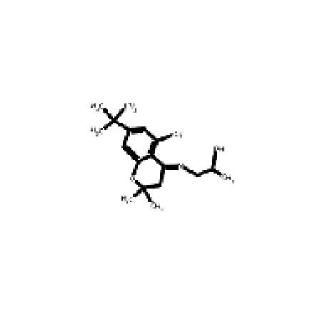 CC(O)CN=C1CC(C)(C)Oc2cc(C(C)(C)C)cc(O)c21